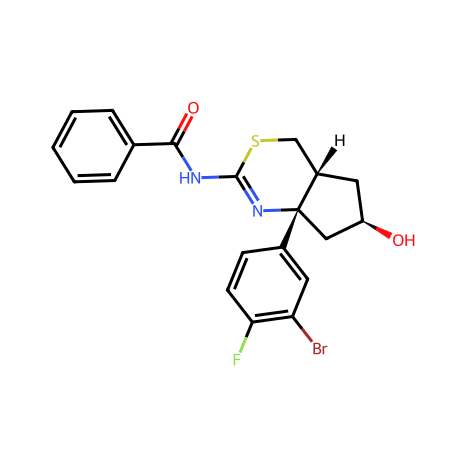 O=C(NC1=N[C@@]2(c3ccc(F)c(Br)c3)C[C@H](O)C[C@H]2CS1)c1ccccc1